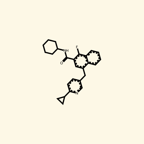 O=C(NC1CCCCC1)c1cc(Cc2ccc(C3CC3)nc2)c2ccccc2c1F